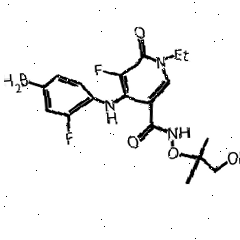 Bc1ccc(Nc2c(C(=O)NOC(C)(C)CO)cn(CC)c(=O)c2F)c(F)c1